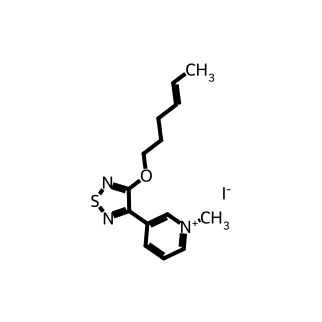 CC=CCCCOc1nsnc1-c1ccc[n+](C)c1.[I-]